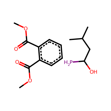 CC(C)CC(O)P.COC(=O)c1ccccc1C(=O)OC